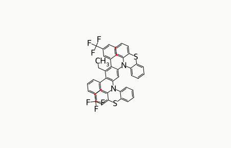 CCc1c(-c2cccc(C(F)(F)F)c2)c(N2c3ccccc3Sc3ccccc32)cc(N2c3ccccc3Sc3ccccc32)c1-c1cccc(C(F)(F)F)c1